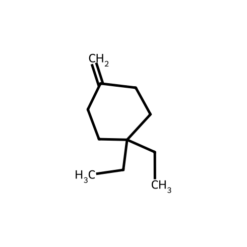 C=C1CCC(CC)(CC)CC1